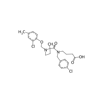 Cc1ccc(OCN2CCC2(C)C(=O)N(CCCC(=O)O)Cc2ccc(Cl)cc2)c(Cl)c1